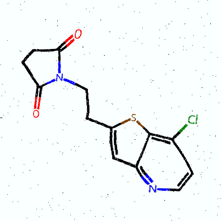 O=C1CCC(=O)N1CCc1cc2nccc(Cl)c2s1